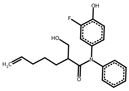 C=CCCCC(CO)C(=O)N(c1ccccc1)c1ccc(O)c(F)c1